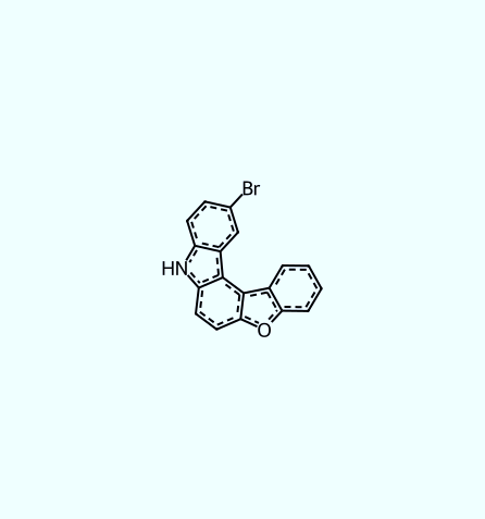 Brc1ccc2[nH]c3ccc4oc5ccccc5c4c3c2c1